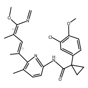 C=N/C(OC)=C(C)\C=C(/C)c1nc(NC(=O)C2(c3ccc(OC)c(Cl)c3)CC2)ccc1C